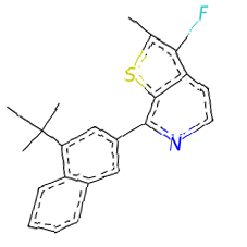 Cc1sc2c(-c3cc(C(C)(C)C)c4ccccc4c3)nccc2c1F